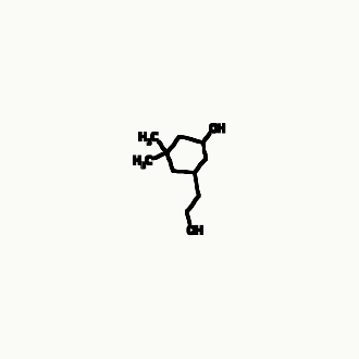 CC1(C)CC(O)CC(CCO)C1